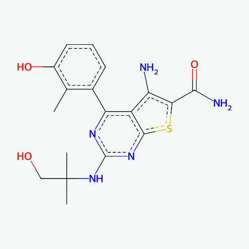 Cc1c(O)cccc1-c1nc(NC(C)(C)CO)nc2sc(C(N)=O)c(N)c12